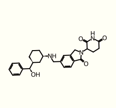 O=C1CCC(N2Cc3cc(CN[C@@H]4CCC[C@H]([C@@H](O)c5ccccc5)C4)ccc3C2=O)C(=O)N1